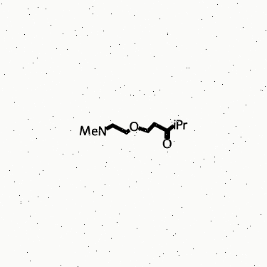 CNCCOCCC(=O)C(C)C